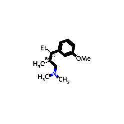 CC[C@H](c1cccc(OC)c1)[C@@H](C)CN(C)C